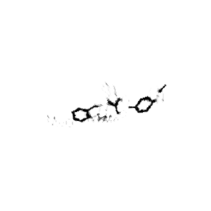 COC(=O)c1c(OCc2ccc3nc(C)oc3c2)nsc1NCc1ccc(OC)cc1OC